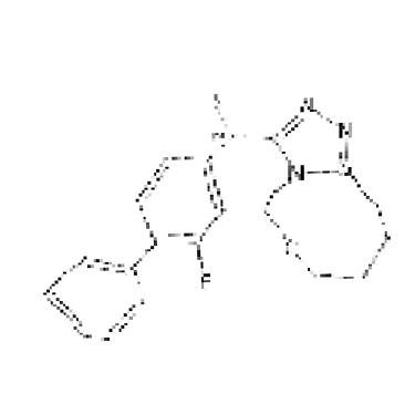 C[C@@H](c1ccc(-c2ccccc2)c(F)c1)c1nnc2n1CCCCCC2